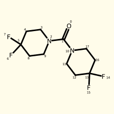 O=C(N1CCC(F)(F)CC1)N1CCC(F)(F)CC1